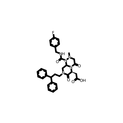 CN1CC(=O)N2C(CN(CCC(c3ccccc3)c3ccccc3)C(=O)[C@@H]2CC(=O)O)N1C(=O)NCc1ccc(F)cc1